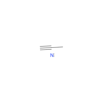 C#CC.[N]